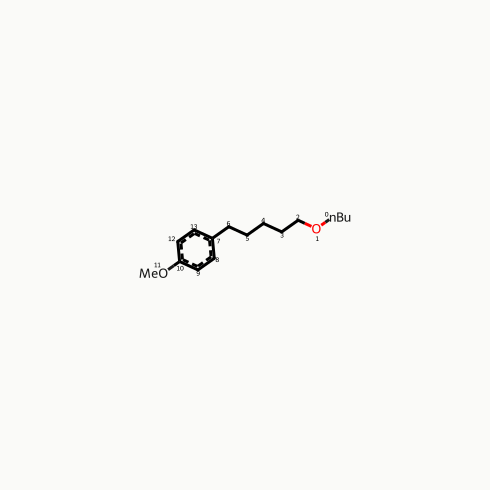 [CH2]CCCOCCCCCc1ccc(OC)cc1